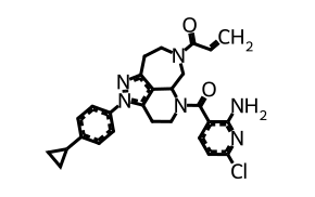 C=CC(=O)N1CCc2nn(-c3ccc(C4CC4)cc3)c3c2C(C1)N(C(=O)c1ccc(Cl)nc1N)CC3